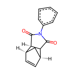 O=C1C2[C@H]3C=C[C@H](C3)[C@H]2C(=O)N1c1ccccc1